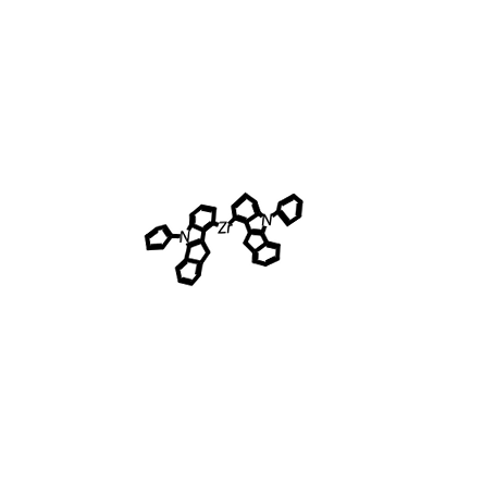 c1ccc(-n2c3c(c4[c]([Zr][c]5cccc6c5c5c(n6-c6ccccc6)-c6ccccc6C5)cccc42)Cc2ccccc2-3)cc1